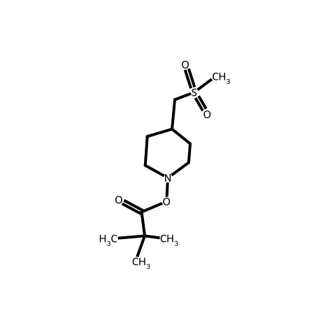 CC(C)(C)C(=O)ON1CCC(CS(C)(=O)=O)CC1